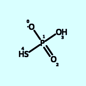 [O]P(=O)(O)S